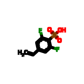 C=Cc1cc(F)c(S(=O)(=O)O)c(F)c1